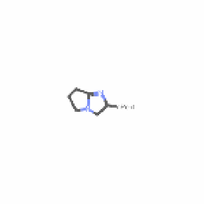 CCCCCC1CN2CCCC2=N1